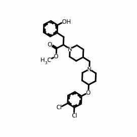 COC(=O)C(Cc1ccccc1O)N1CCC(CN2CCC(Oc3ccc(Cl)c(Cl)c3)CC2)CC1